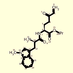 C=CC(=O)CC[C@H](NC(=O)[C@H](N)Cc1cn(C)c2ccccc12)C(=O)OC(C)C